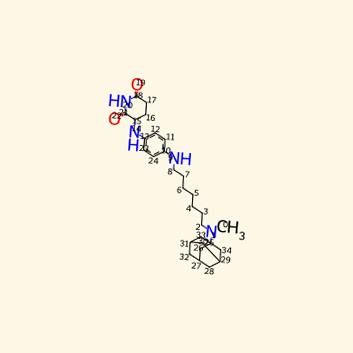 CN(CCCCCCCNc1ccc(NC2CCC(=O)NC2=O)cc1)C12CC3CC(CC(C3)C1)C2